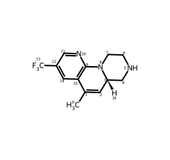 CC1=C[C@H]2CNCCN2c2ncc(C(F)(F)F)cc21